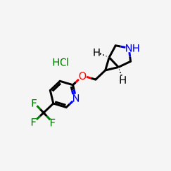 Cl.FC(F)(F)c1ccc(OCC2[C@H]3CNC[C@@H]23)nc1